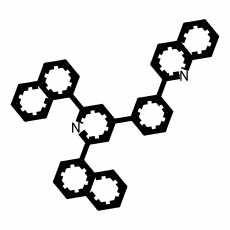 c1cc(-c2cc(-c3cccc4ccccc34)nc(-c3cccc4ccccc34)c2)cc(-c2ccc3ccccc3n2)c1